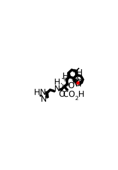 C[C@@H]1[C@@H]2CC[C@@H](C)[C@@H]3CCC4OO[C@@]23[C@@H](O4)O[C@@H]1[C@@](C)(CC(=O)O)C(=O)NCCc1cnc[nH]1